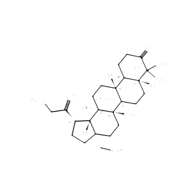 C=C(COC(C)=O)[C@@H]1CC[C@]2(CO)CC[C@]3(C)[C@H](CC[C@@H]4[C@@]5(C)CCC(=O)C(C)(C)[C@@H]5CC[C@]43C)[C@@H]12